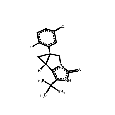 BC(B)(B)c1[nH]c(=S)n2c1[C@@H]1C[C@]1(c1cc(Cl)ccc1F)C2